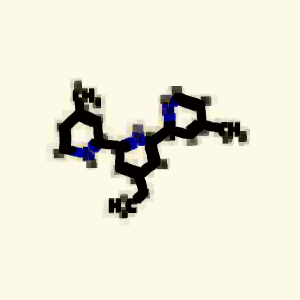 CCc1cc(-c2cc(C)ccn2)nc(-c2cc(C)ccn2)c1